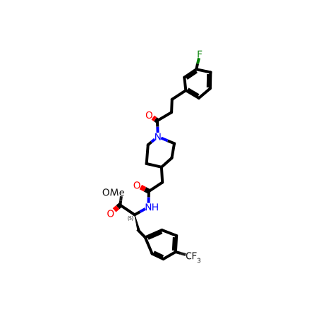 COC(=O)[C@H](Cc1ccc(C(F)(F)F)cc1)NC(=O)CC1CCN(C(=O)CCc2cccc(F)c2)CC1